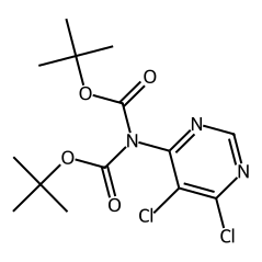 CC(C)(C)OC(=O)N(C(=O)OC(C)(C)C)c1ncnc(Cl)c1Cl